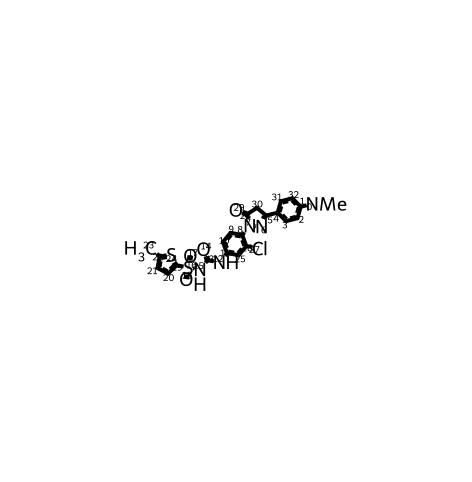 CNc1ccc(C2=NN(c3ccc(NC(=O)NS(=O)(=O)c4ccc(C)s4)cc3Cl)C(=O)C2)cc1